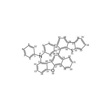 c1ccc(N(c2ccccc2)c2cccc3oc4c5ccccc5c(-c5cccc6c5sc5ccccc56)cc4c23)cc1